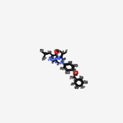 CC(C)=CCN(CC(C)NC(=O)C(N)CC(C)C)c1ccc(OCc2ccccc2)cc1